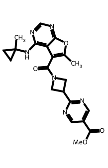 COC(=O)c1cnc(C2CN(C(=O)c3c(C)oc4ncnc(NC5(C)CC5)c34)C2)nc1